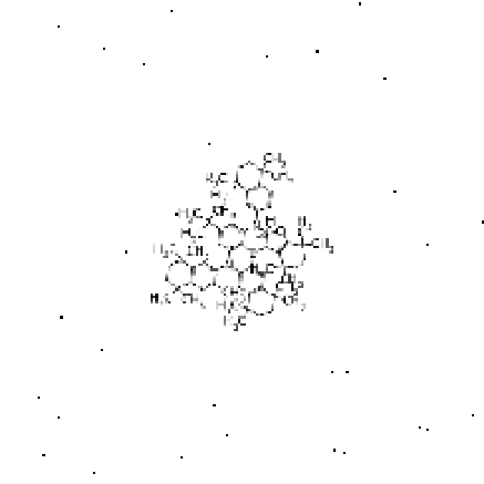 Cc1cc2c(cc1N1c3cc4c(cc3B3c5c1cc(C(C)(C)C)cc5N(c1ccc5c(c1)C(C)(C)CCC5(C)C)[C@@H]1OC5=C(C31)C(C)(C)CCC5(C)C)C(C)(C)CCC4(C)C)C(C)(C)CCC2(C)C